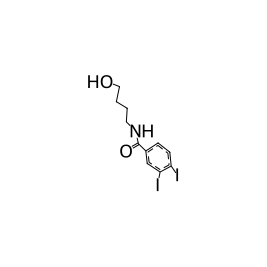 O=C(NCCCCO)c1ccc(I)c(I)c1